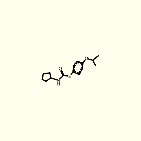 CC(C)Oc1ccc(SC(=O)NC2CCCC2)cc1